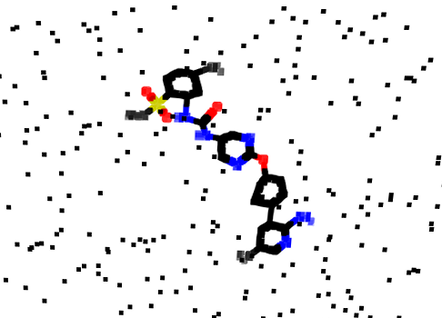 CNS(=O)(=O)c1ccc(C(F)(F)F)cc1NC(=O)Nc1cnc(Oc2ccc(-c3cc(C(F)(F)F)cnc3N)cc2)nc1